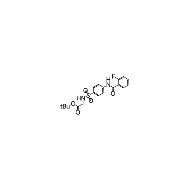 CC(C)(C)OC(=O)CNS(=O)(=O)c1ccc(NC(=O)c2ccccc2F)cc1